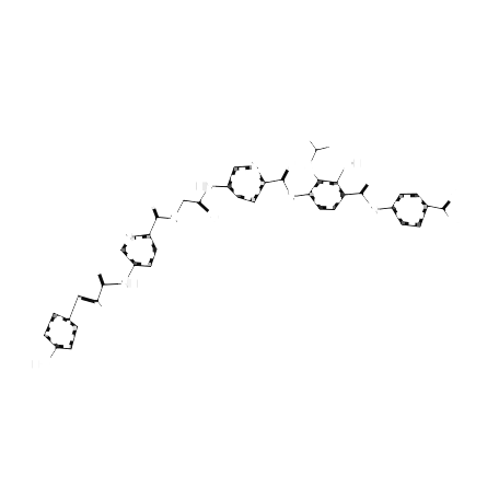 C/C(=C\c1ccc(O)cc1)C(=O)Nc1ccc(C(=O)NCC(=O)Nc2ccc(C(=O)Nc3ccc(C(=O)Nc4ccc(C(=O)O)cc4)c(O)c3OC(C)C)nc2)nc1